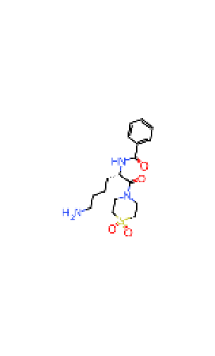 NCCCC[C@H](NC(=O)c1ccccc1)C(=O)N1CCS(=O)(=O)CC1